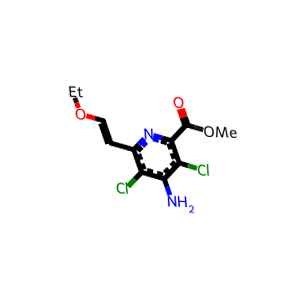 CCOC=Cc1nc(C(=O)OC)c(Cl)c(N)c1Cl